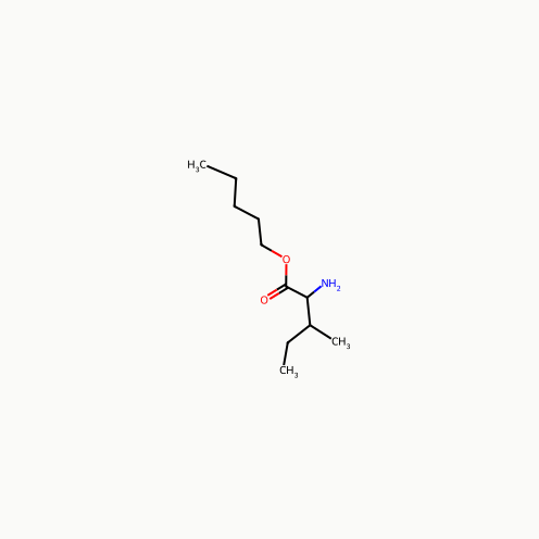 CCCCCOC(=O)C(N)C(C)CC